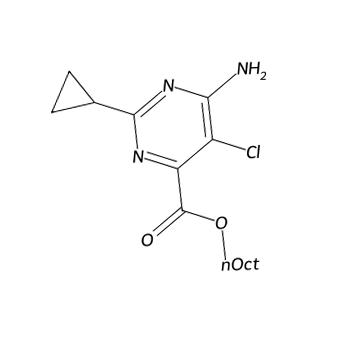 CCCCCCCCOC(=O)c1nc(C2CC2)nc(N)c1Cl